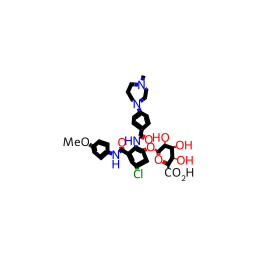 COc1ccc(NC(=O)c2cc(Cl)cc(O[C@@H]3O[C@H](C(=O)O)[C@@H](O)[C@H](O)[C@H]3O)c2NC(=O)c2ccc(N3CCCN(C)CC3)cc2)cc1